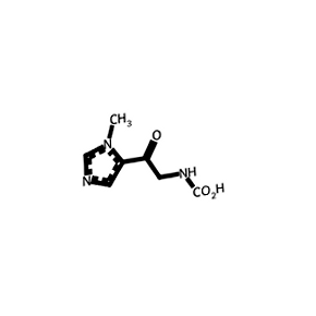 Cn1cncc1C(=O)CNC(=O)O